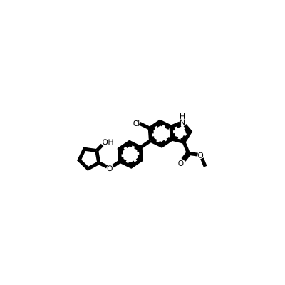 COC(=O)c1c[nH]c2cc(Cl)c(-c3ccc(OC4CCCC4O)cc3)cc12